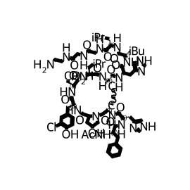 CCC(C)[C@H](NC(=O)C(Cc1c[nH]cn1)NC(=O)[C@@H]1CSSC[C@H](NC(=O)[C@H](Cc2c[nH]cn2)NC(=O)[C@H](Cc2ccccc2)NC(C)=O)C(=O)N2CC(O)CC2C(=O)N[C@@H](Cc2ccc(O)c(Cl)c2)C(=O)N[C@@H](CC(=O)O)C(=O)N[C@@H](CC(C)C)C(=O)N1)C(=O)N[C@@H](CC(C)C)C(=O)NCC(=O)NCC(=O)NCCN